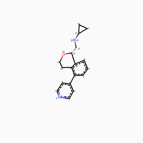 c1cc(-c2ccncc2)c2c(c1)[C@@H](CNC1CC1)OCC2